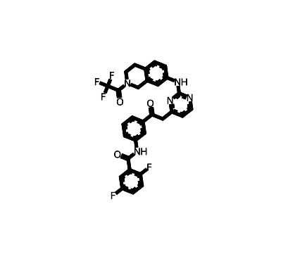 O=C(Cc1ccnc(Nc2ccc3c(c2)CN(C(=O)C(F)(F)F)CC3)n1)c1cccc(NC(=O)c2cc(F)ccc2F)c1